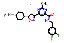 CC(=O)N[C@H]1CC[C@H](C2CC(c3cc(C(=O)NCc4ccc(F)c(F)c4)nc(C)n3)=NO2)CC1